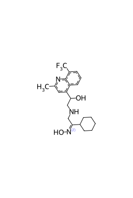 Cc1cc(C(O)CNC/C(=N\O)C2CCCCC2)c2cccc(C(F)(F)F)c2n1